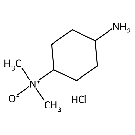 C[N+](C)([O-])C1CCC(N)CC1.Cl